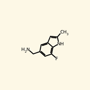 Cc1cc2cc(CN)cc(F)c2[nH]1